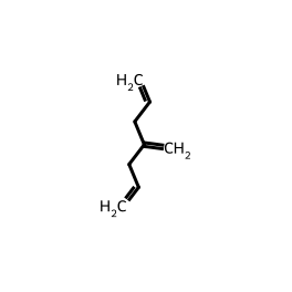 C=CCC(=C)CC=C